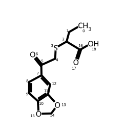 CCC(SCC(=O)c1ccc2c(c1)OCO2)C(=O)O